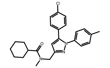 Cc1ccc(-n2nc(CN(C)C(=O)C3CCCCC3)cc2-c2ccc(Cl)cc2)cc1